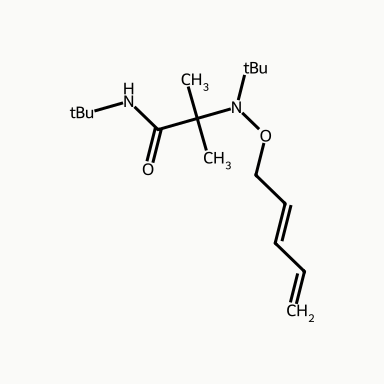 C=CC=CCON(C(C)(C)C)C(C)(C)C(=O)NC(C)(C)C